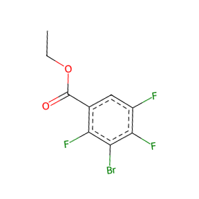 CCOC(=O)c1cc(F)c(F)c(Br)c1F